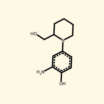 Nc1cc(N2CCCCC2CO)ccc1O